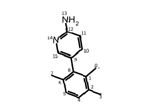 [CH2]c1c(C)ccc(C)c1-c1ccc(N)nc1